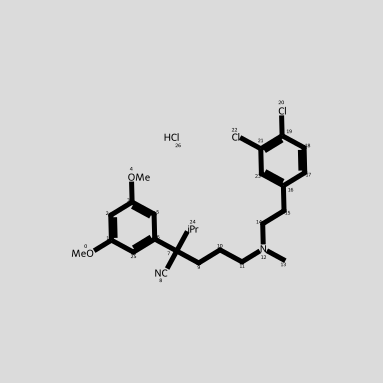 COc1cc(OC)cc(C(C#N)(CCCN(C)CCc2ccc(Cl)c(Cl)c2)C(C)C)c1.Cl